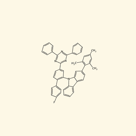 Cc1cc(C)c(-c2ccc3c4ccccc4n(-c4cc(-c5nc(-c6ccccc6)nc(-c6ccccc6)n5)ccc4-c4ccc(F)cc4)c3c2)c(C)c1